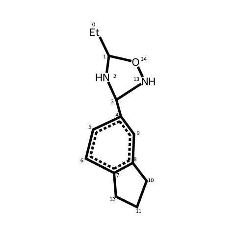 CCC1NC(c2ccc3c(c2)CCC3)NO1